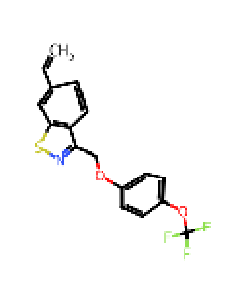 C=Cc1ccc2c(COc3ccc(OC(F)(F)F)cc3)nsc2c1